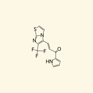 O=C(/C=C/c1c(C(F)(F)F)nc2sccn12)c1ccc[nH]1